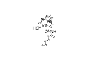 CCCCCC(C)NC(=O)C1CSC23C=CC=CC2=NCCC13.Cl